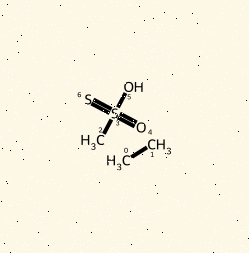 CC.CS(=O)(O)=S